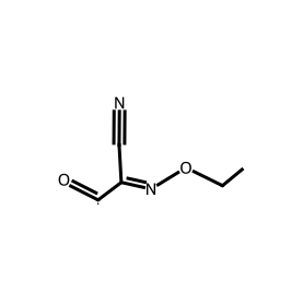 CCO/N=C(/[C]=O)C#N